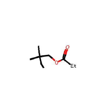 CCC(=O)OCC(C)(C)C